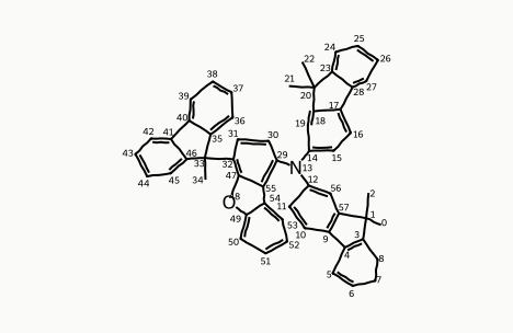 CC1(C)C2=C(C=CCC2)c2ccc(N(c3ccc4c(c3)C(C)(C)c3ccccc3-4)c3ccc(C4(C)c5ccccc5-c5ccccc54)c4oc5ccccc5c34)cc21